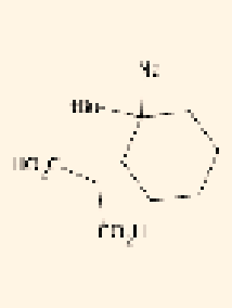 CC(C)(C)[C]1([Na])CCCCC1.O=C(O)CC(=O)O